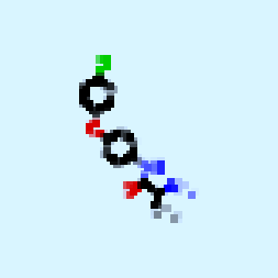 CC(N)C(=O)Nc1ccc(Oc2ccc(Cl)cc2)cc1